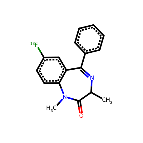 CC1N=C(c2ccccc2)c2cc([18F])ccc2N(C)C1=O